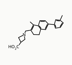 CC1=C(CN2CC(C(=O)O)C2)CCc2cc(-c3cccc(C)c3)ccc21